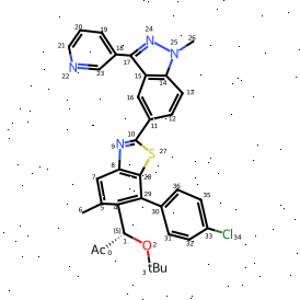 CC(=O)[C@@H](OC(C)(C)C)c1c(C)cc2nc(-c3ccc4c(c3)c(-c3cccnc3)nn4C)sc2c1-c1ccc(Cl)cc1